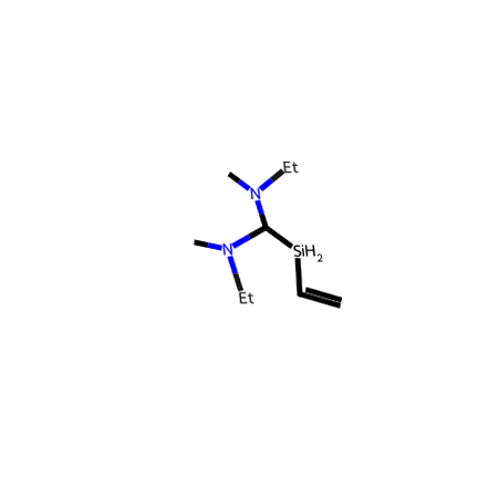 C=C[SiH2]C(N(C)CC)N(C)CC